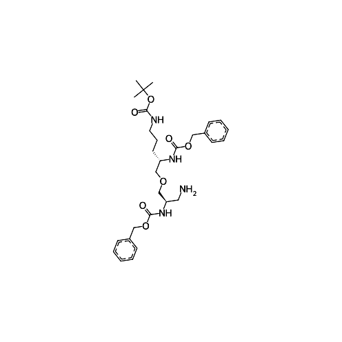 CC(C)(C)OC(=O)NCCC[C@@H](COC[C@@H](CN)NC(=O)OCc1ccccc1)NC(=O)OCc1ccccc1